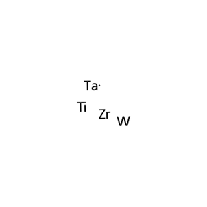 [Ta].[Ti].[W].[Zr]